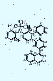 CC(C)(C)N(c1ccccc1F)c1ccc(-c2cccc(-c3cccc4ccccc34)c2)c(-c2ccccc2)c1F